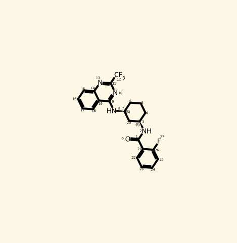 O=C(N[C@@H]1CCC[C@H](Nc2nc(C(F)(F)F)nc3ccccc23)C1)c1ccccc1F